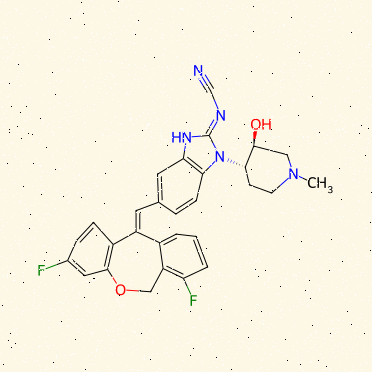 CN1CC[C@H](n2/c(=N/C#N)[nH]c3cc(/C=C4/c5ccc(F)cc5OCc5c(F)cccc54)ccc32)[C@@H](O)C1